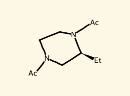 CC[C@H]1CN(C(C)=O)CCN1C(C)=O